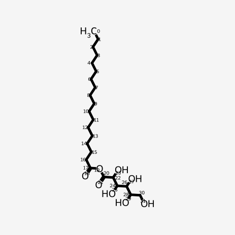 CCCCCCCCCCCCCCCCCC(=O)OC(=O)C(O)C(O)C(O)C(O)CO